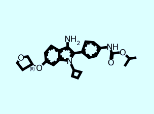 CC(C)OC(=O)Nc1ccc(-c2c(N)c3ccc(O[C@@H]4CCOC4)cc3n2C2CCC2)cc1